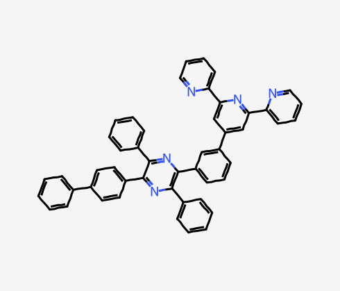 c1ccc(-c2ccc(-c3nc(-c4ccccc4)c(-c4cccc(-c5cc(-c6ccccn6)nc(-c6ccccn6)c5)c4)nc3-c3ccccc3)cc2)cc1